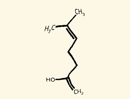 C=C(O)CCC=C(C)C